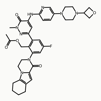 CC(=O)OCc1c(-c2cc(Nc3ccc(N4CCN(C5COC5)CC4)cn3)c(=O)n(C)n2)cc(F)cc1N1CCn2c(cc3c2CCCC3)C1=O